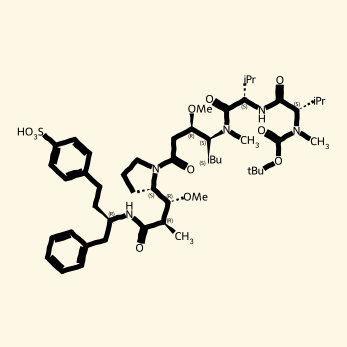 CC[C@H](C)[C@@H]([C@@H](CC(=O)N1CCC[C@H]1[C@H](OC)[C@@H](C)C(=O)N[C@H](CCc1ccc(S(=O)(=O)O)cc1)Cc1ccccc1)OC)N(C)C(=O)[C@@H](NC(=O)[C@H](C(C)C)N(C)C(=O)OC(C)(C)C)C(C)C